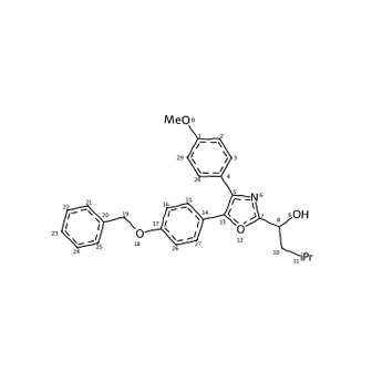 COc1ccc(-c2nc(C(O)CC(C)C)oc2-c2ccc(OCc3ccccc3)cc2)cc1